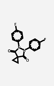 O=C1N(c2ccc(F)cc2)N(c2ccc(F)cc2)C(=O)C12CC2